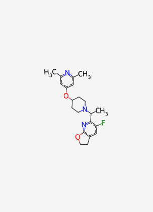 Cc1cc(OC2CCN(C(C)c3nc4c(cc3F)CCO4)CC2)cc(C)n1